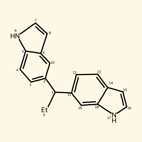 [CH2]CC(c1ccc2[nH]ccc2c1)c1ccc2cc[nH]c2c1